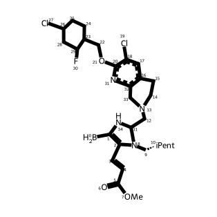 BC1=C(/C=C/C(=O)OC)N(C[C@@H](C)CCC)C(CN2CCc3cc(Cl)c(OCC4CCC(Cl)CC4F)nc3C2)N1